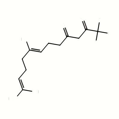 CC(C)=CCCC(C)=CCCC(=O)CC(=O)C(F)(F)F